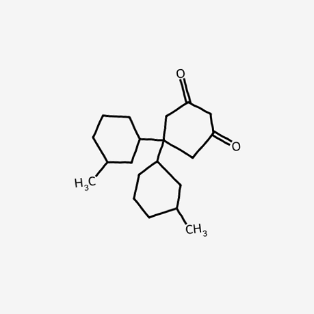 CC1CCCC(C2(C3CCCC(C)C3)CC(=O)CC(=O)C2)C1